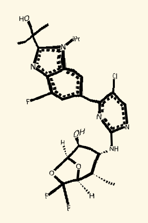 CC(C)n1c(C(C)(C)O)nc2c(F)cc(-c3nc(N[C@@H]4[C@H](C)[C@@H]5O[C@@H](OC5(F)F)[C@H]4O)ncc3Cl)cc21